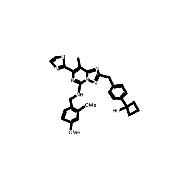 COc1ccc(CNc2nc(-c3ncco3)c(C)c3nc(Cc4ccc(C5(O)CCC5)cc4)nn23)c(OC)c1